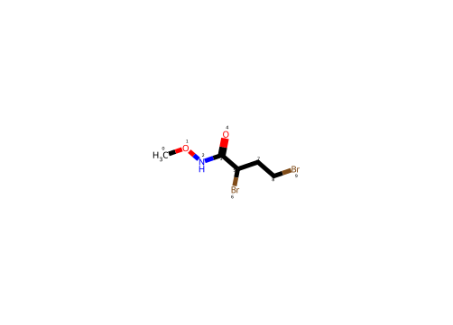 CONC(=O)C(Br)CCBr